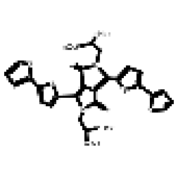 CCCCCCCCC(CCCCCC)CN1C(=O)C2=C(c3ccc(-c4cccs4)s3)N(CC(CCCCCC)CCCCCCCC)C(=O)C2=C1c1ccc(-c2cccs2)s1